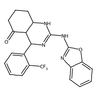 O=C1CCCC2NC(Nc3nc4ccccc4o3)=NC(c3ccccc3C(F)(F)F)C12